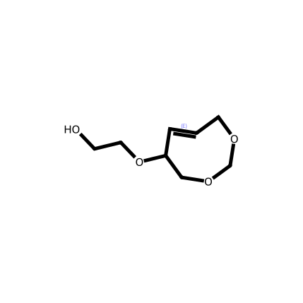 OCCOC1/C=C/COCOC1